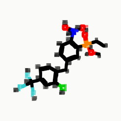 CCP(=O)(OC)c1cc(Cc2ccc(C(F)(F)F)cc2Cl)ccc1[N+](=O)[O-]